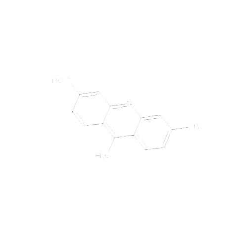 Cc1ccc2c(C)c3ccc(S(=O)(=O)O)cc3nc2c1